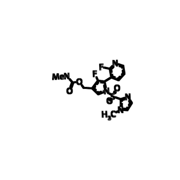 CNC(=O)OCc1cn(S(=O)(=O)c2nccn2C)c(-c2cccnc2F)c1F